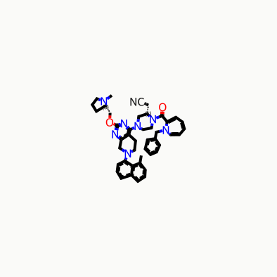 Cc1cccc2cccc(N3CCc4c(nc(OC[C@@H]5CCCN5C)nc4N4CCN(C(=O)C5=CC=CC=CN5Cc5ccccc5)[C@@H](CC#N)C4)C3)c12